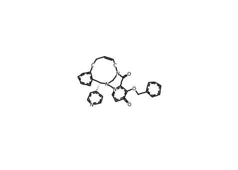 O=C1c2c(OCc3ccccc3)c(=O)ccn2N2CN1C/C=C\CCc1ccccc1[C@H]2c1ccncc1